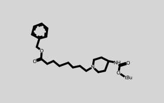 CC(C)(C)OC(=O)NC1CCN(CCCCCCCC(=O)OCc2ccccc2)CC1